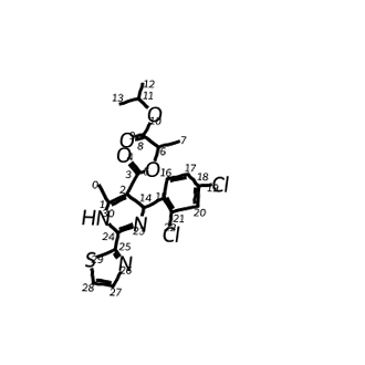 CC1=C(C(=O)OC(C)C(=O)OC(C)C)C(c2ccc(Cl)cc2Cl)N=C(c2nccs2)N1